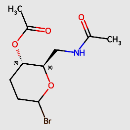 CC(=O)NC[C@H]1OC(Br)CC[C@@H]1OC(C)=O